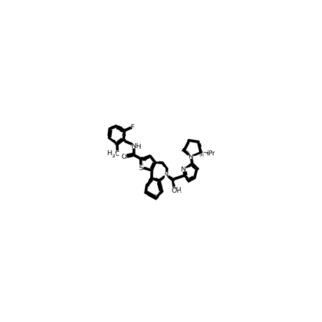 Cc1cccc(F)c1NC(=O)c1cc2c(s1)-c1ccccc1N(C(O)c1cccc(N3CCC[C@@H]3C(C)C)n1)CC2